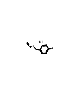 C=NOCc1ccc(F)cc1.Cl